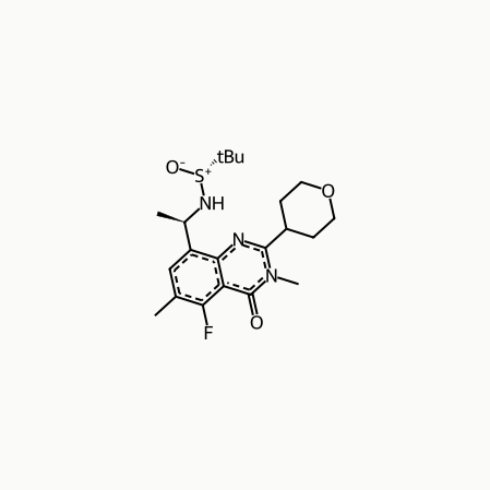 Cc1cc([C@@H](C)N[S@+]([O-])C(C)(C)C)c2nc(C3CCOCC3)n(C)c(=O)c2c1F